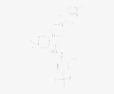 Cn1ccc(S(=O)(=O)N2CCN(C3(CNC(=O)c4ccc(C(F)(F)F)cc4Cl)CCC(F)(F)CC3)CC2)n1